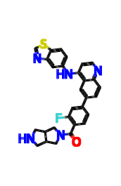 O=C(c1ccc(-c2ccc3nccc(Nc4ccc5scnc5c4)c3c2)cc1F)N1CC2CNCC2C1